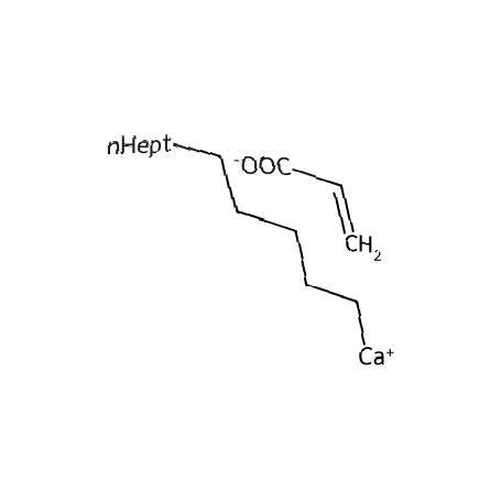 C=CC(=O)[O-].CCCCCCCCCCC[CH2][Ca+]